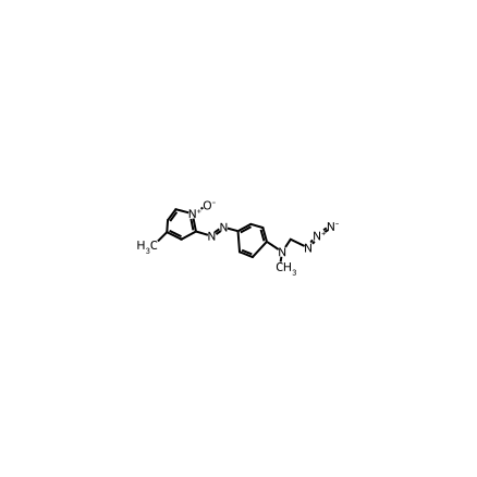 Cc1cc[n+]([O-])c(/N=N/c2ccc(N(C)CN=[N+]=[N-])cc2)c1